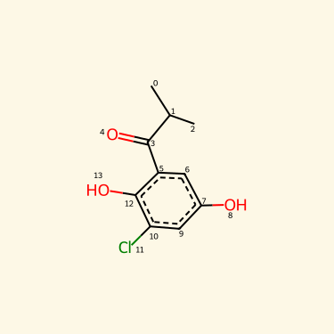 CC(C)C(=O)c1cc(O)cc(Cl)c1O